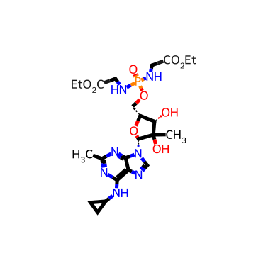 CCOC(=O)CNP(=O)(NCC(=O)OCC)OC[C@H]1O[C@@H](n2cnc3c(NC4CC4)nc(C)nc32)C(C)(O)[C@H]1O